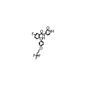 O=C(Nc1cc[nH]c(=O)c1)c1cc(F)ccc1Oc1ccc(OCCCC(F)(F)F)cc1